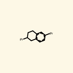 CC(C)c1ccc2c(c1)CCC(C(C)C)C2